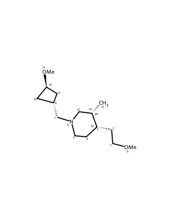 COCC[C@@H]1CCN(C[C@H]2C[C@H](OC)C2)C[C@@H]1C